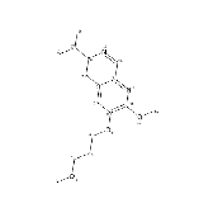 COCCCOc1cc2c(nc1OC)C=NC(C(C)C)C2